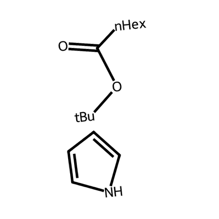 CCCCCCC(=O)OC(C)(C)C.c1cc[nH]c1